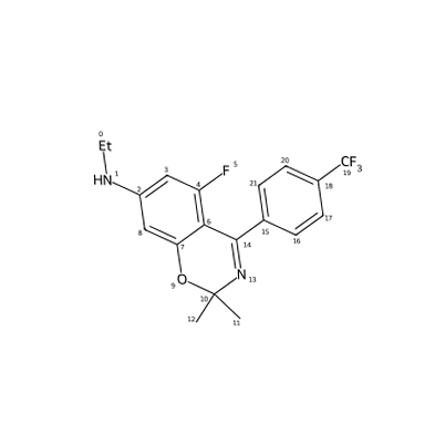 CCNc1cc(F)c2c(c1)OC(C)(C)N=C2c1ccc(C(F)(F)F)cc1